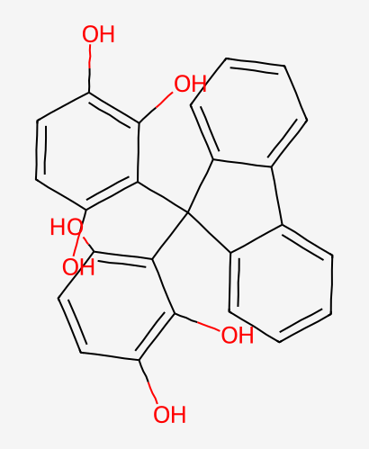 Oc1ccc(O)c(C2(c3c(O)ccc(O)c3O)c3ccccc3-c3ccccc32)c1O